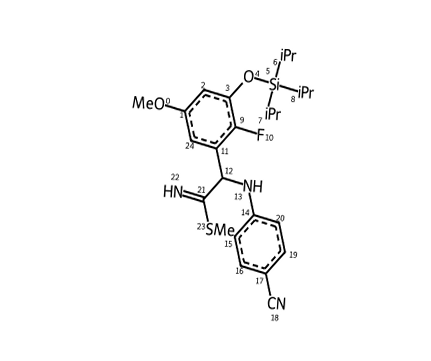 COc1cc(O[Si](C(C)C)(C(C)C)C(C)C)c(F)c(C(Nc2ccc(C#N)cc2)C(=N)SC)c1